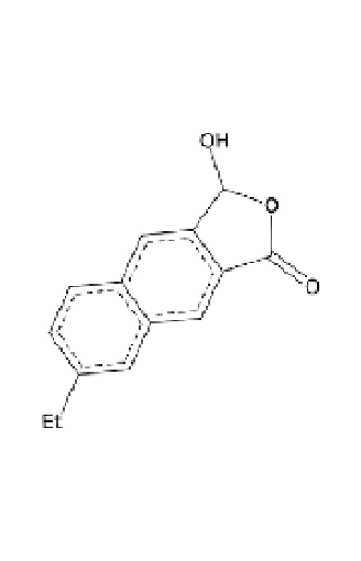 CCc1ccc2cc3c(cc2c1)C(=O)OC3O